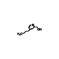 CCCCc1ccnc(CO)c1